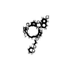 C[C@@H]1[C@@H](C)C/C=C/[C@H](OCCCO[C@H]2CCCCO2)[C@@H]2CC[C@H]2CN2C[C@@]3(CCCc4cc(Cl)ccc43)COc3ccc(cc32)C(=O)NS1(=O)=O